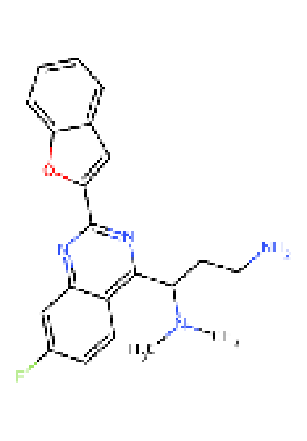 CN(C)C(CCN)c1nc(-c2cc3ccccc3o2)nc2cc(F)ccc12